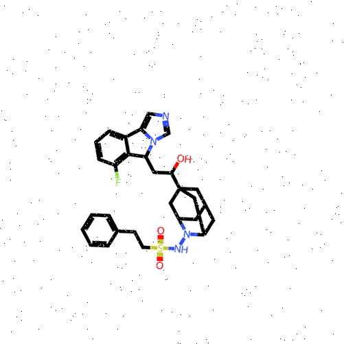 O=S(=O)(CCc1ccccc1)NN1C2CC3CC1CC(C(O)CC1c4c(F)cccc4-c4cncn41)(C3)C2